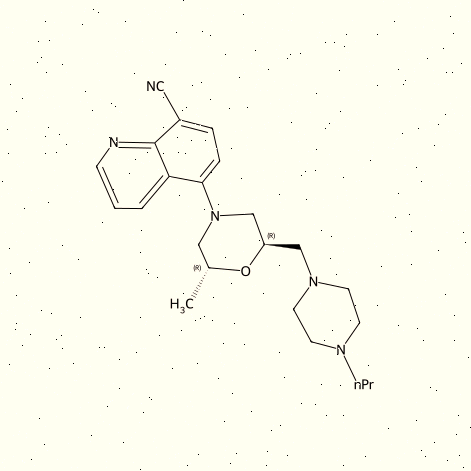 CCCN1CCN(C[C@@H]2CN(c3ccc(C#N)c4ncccc34)C[C@@H](C)O2)CC1